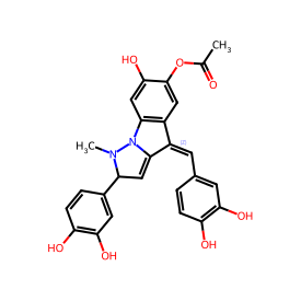 CC(=O)Oc1cc2/c(=C/c3ccc(O)c(O)c3)c3n(c2cc1O)N(C)C(c1ccc(O)c(O)c1)C=3